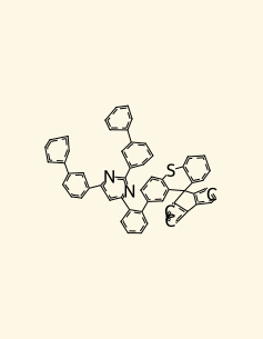 c1ccc(-c2cccc(-c3cc(-c4ccccc4-c4ccc5c(c4)C4(c6ccccc6S5)c5ccccc5-c5ccccc54)nc(-c4cccc(-c5ccccc5)c4)n3)c2)cc1